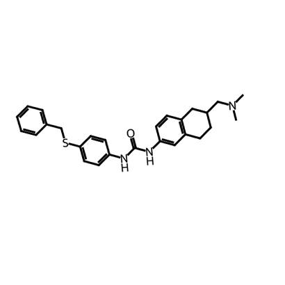 CN(C)CC1CCc2cc(NC(=O)Nc3ccc(SCc4ccccc4)cc3)ccc2C1